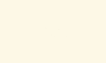 CCOC(C)CC(C)COC1(C(C)C)CCCC(C)C1